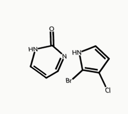 Clc1cc[nH]c1Br.O=c1nccc[nH]1